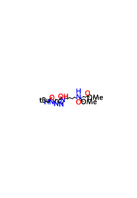 COC(=O)CC[C@H](NCCCCCCn1cnc2nc(NC(=O)C(C)(C)C)cc-2c1O)C(=O)OC